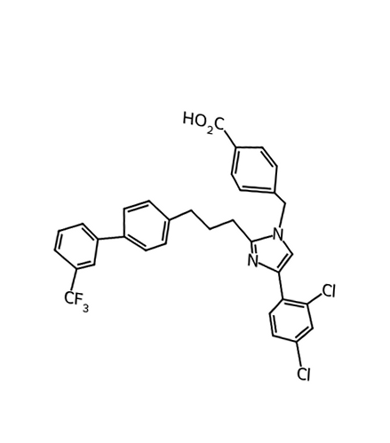 O=C(O)c1ccc(Cn2cc(-c3ccc(Cl)cc3Cl)nc2CCCc2ccc(-c3cccc(C(F)(F)F)c3)cc2)cc1